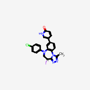 Cc1nnc2n1-c1ccc(-c3ccc(=O)[nH]c3)cc1N(c1ccc(Cl)cc1)C[C@H]2I